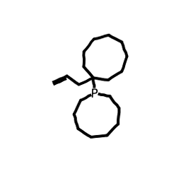 C=CCC1(P2CCCCCCCC2)CCCCCCCC1